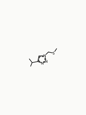 CSCn1cc(C(C)C)nn1